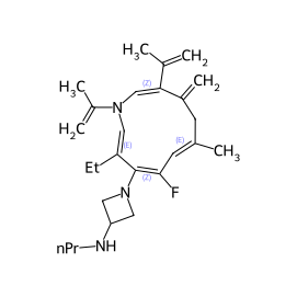 C=C(C)/C1=C/N(C(=C)C)/C=C(CC)/C(N2CC(NCCC)C2)=C(F)\C=C(/C)CC1=C